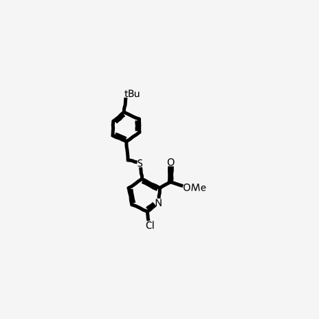 COC(=O)c1nc(Cl)ccc1SCc1ccc(C(C)(C)C)cc1